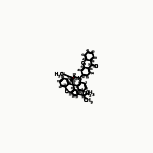 Cc1ccc2c(c1)C1(c3ccccc3Oc3ccc(C(C)C)cc31)c1cc(C)ccc1N2c1ccc2c(=O)c3ccccc3oc2c1